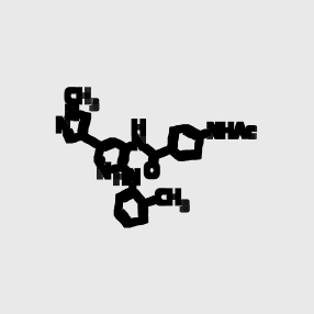 CC(=O)Nc1ccc(C(=O)Nc2cc(-c3cnn(C)c3)cnc2Nc2ccccc2C)cc1